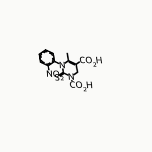 CC1=C(C(=O)O)CN(C(=O)O)C(=S)N1c1ccccc1[N+](=O)[O-]